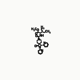 CCC(C)[C@H](NC(=O)N1CCC2(CC1)C(=O)N(c1ccccn1)C2c1ccccn1)C(=O)OC